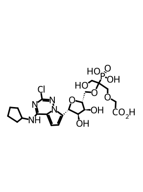 O=C(O)COCC(CO)(OC[C@H]1O[C@@H](c2ccc3c(NC4CCCC4)nc(Cl)nn23)[C@H](O)[C@@H]1O)P(=O)(O)O